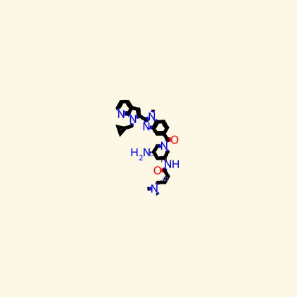 CN(C)C/C=C\C(=O)N[C@@H]1C[C@H](N)CN(C(=O)c2ccc3c(c2)nc(-c2cc4cccnc4n2CC2CC2)n3C)C1